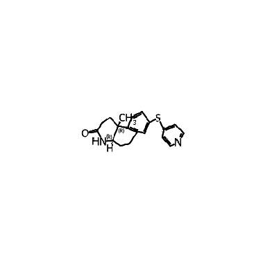 C[C@]12CCC(=O)N[C@@H]1CCc1cc(Sc3ccncc3)ccc12